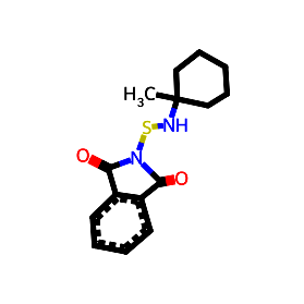 CC1(NSN2C(=O)c3ccccc3C2=O)CCCCC1